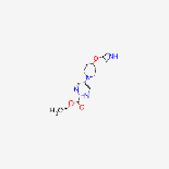 CCOC(=O)c1ncc(N2CCC(OC3CNC3)CC2)cn1